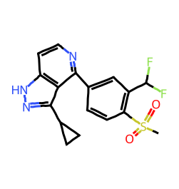 CS(=O)(=O)c1ccc(-c2nccc3[nH]nc(C4CC4)c23)cc1C(F)F